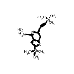 C[Si](C)(C)C#CC1Cc2sc([Si](C)(C)C)cc2C(N)=N1.Cl